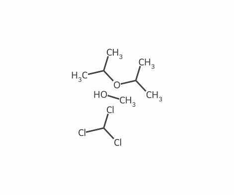 CC(C)OC(C)C.CO.ClC(Cl)Cl